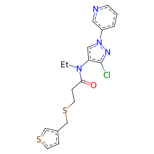 CCN(C(=O)CCSCc1ccsc1)c1cn(-c2cccnc2)nc1Cl